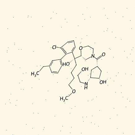 CCc1cccc(-c2c(Cl)cccc2[C@](O)(CCCCOC)[C@H]2CN(C(=O)[C@@H]3C[C@H](O)[C@H](NCCO)C3)CCO2)c1